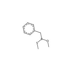 COB(Cc1ccccc1)SC